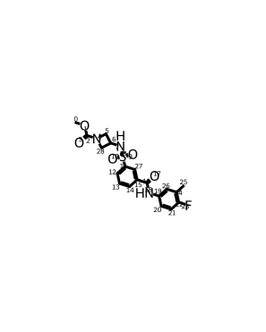 COC(=O)N1CC(NS(=O)(=O)c2cccc(C(=O)Nc3ccc(F)c(C)c3)c2)C1